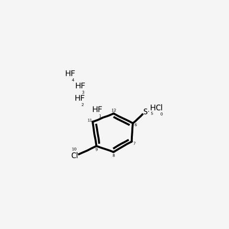 Cl.F.F.F.F.[S]c1ccc(Cl)cc1